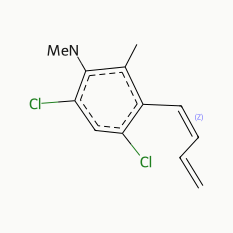 C=C/C=C\c1c(Cl)cc(Cl)c(NC)c1C